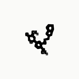 COc1ccc(C2CN(C)C(=O)CO2)cc1OCCC1Cc2ccccc2C1